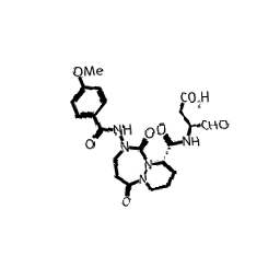 COc1ccc(C(=O)NN2CCC(=O)N3CCC[C@@H](C(=O)N[C@H](C=O)CC(=O)O)N3C2=O)cc1